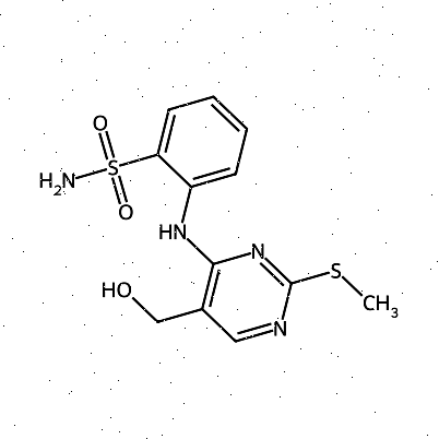 CSc1ncc(CO)c(Nc2ccccc2S(N)(=O)=O)n1